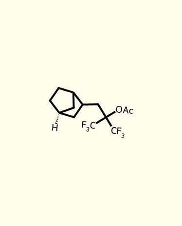 CC(=O)OC(CC1C[C@H]2CCC1C2)(C(F)(F)F)C(F)(F)F